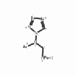 CCCCCCN(C(C)=O)n1cnnn1